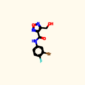 O=C(Nc1ccc(F)c(Br)c1)c1nonc1CO